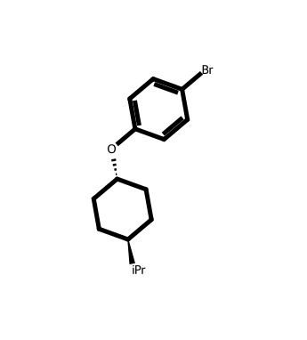 CC(C)[C@H]1CC[C@H](Oc2ccc(Br)cc2)CC1